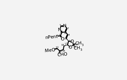 CCCCCC(=O)c1ncncc1/C=C/[C@H]1OC(C)(C)O[C@H]1CCC(C=O)COC